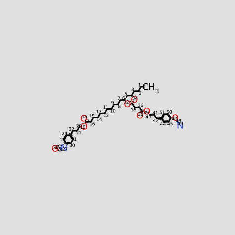 CCCCCC[C@H](CCCCCCCCCCC(=O)OCCCc1ccc(N=C=O)cc1)OC(=O)CCC(=O)OCCCc1ccc(OC#N)cc1